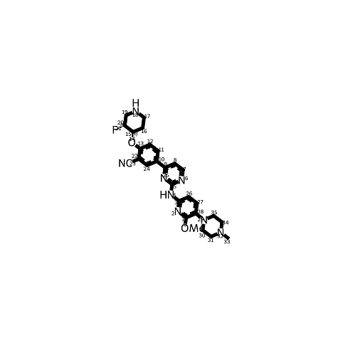 COc1nc(Nc2nccc(-c3ccc(O[C@H]4CCNC[C@H]4F)c(C#N)c3)n2)ccc1N1CCN(C)CC1